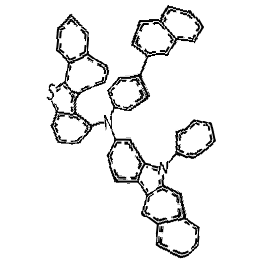 c1ccc(-n2c3cc(N(c4ccc(-c5ccc6ccccc6c5)cc4)c4cccc5sc6c7ccccc7ccc6c45)ccc3c3cc4ccccc4cc32)cc1